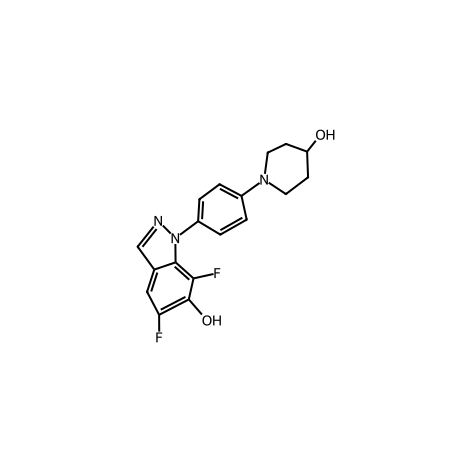 Oc1c(F)cc2cnn(-c3ccc(N4CCC(O)CC4)cc3)c2c1F